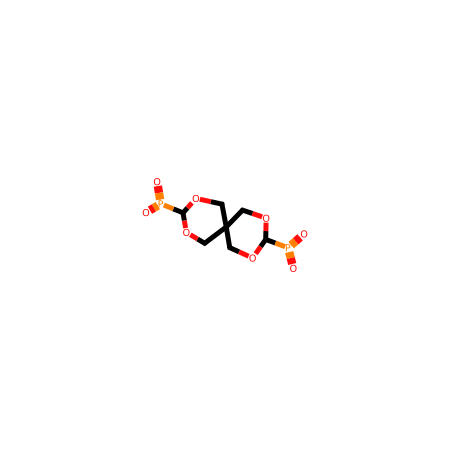 O=P(=O)C1OCC2(CO1)COC(P(=O)=O)OC2